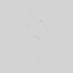 Nc1ccc(C[PH2]=O)cc1